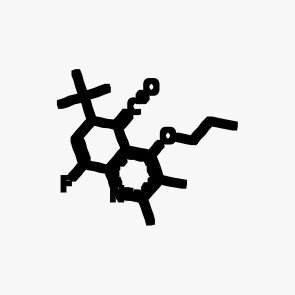 CCCOc1c(C)c(C)nc2c1C(=C=O)C(C(C)(C)C)C=C2F